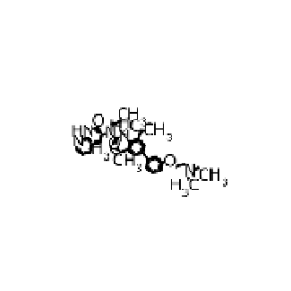 CCCN(C(=O)Nc1c(C(C)C)cc(-c2cccc(OCCN(CC)CC)c2)cc1C(C)C)c1cc2cccnc2[nH]c1=O